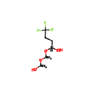 O[SiH2]O[SiH2]O[SiH](O)CCC(F)(F)F